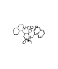 CN(Cc1cccc2ccccc12)C(=O)C(CC(N)=O)C1C2CCCCC2CCN1C(=O)O